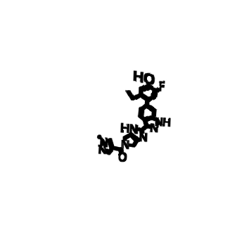 CCc1cc(O)c(F)cc1-c1ccc2c(-c3nc4c([nH]3)CN(C(=O)c3cnn(C)c3)C4)n[nH]c2c1